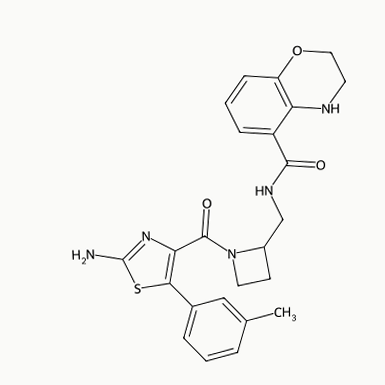 Cc1cccc(-c2sc(N)nc2C(=O)N2CCC2CNC(=O)c2cccc3c2NCCO3)c1